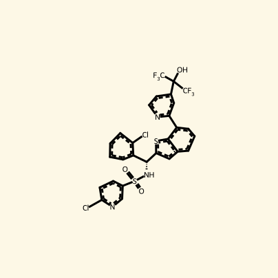 O=S(=O)(N[C@@H](c1cc2cccc(-c3cc(C(O)(C(F)(F)F)C(F)(F)F)ccn3)c2s1)c1ccccc1Cl)c1ccc(Cl)nc1